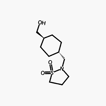 O=S1(=O)CCCN1C[C@H]1CC[C@H](CO)CC1